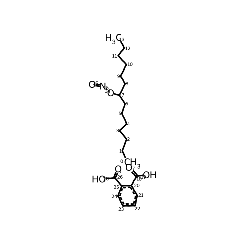 CCCCCCCC(CCCCCC)ON=O.O=C(O)c1ccccc1C(=O)O